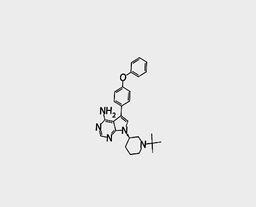 CC(C)(C)N1CCC[C@@H](n2cc(-c3ccc(Oc4ccccc4)cc3)c3c(N)ncnc32)C1